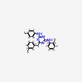 Cc1ccc(Nc2nc(Cc3cccc(C)c3)nc(Nc3ccccc3C)n2)cc1